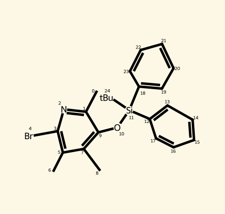 Cc1nc(Br)c(C)c(C)c1O[Si](c1ccccc1)(c1ccccc1)C(C)(C)C